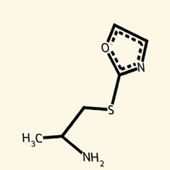 CC(N)CSc1ncco1